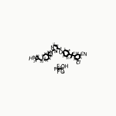 CC(C)(c1ccc(OCc2ccnc(N3CC4(CCN(CC5CNC5)CC4)C3)n2)cc1)c1cc(Cl)cc(C#N)c1.O=C(O)C(F)(F)F